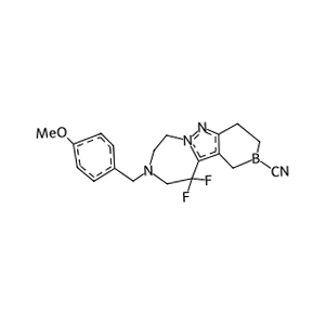 COc1ccc(CN2CCn3nc4c(c3C(F)(F)C2)CB(C#N)CC4)cc1